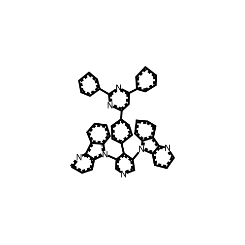 c1ccc(-c2cc(-c3ccc(-c4c(-n5c6ccccc6c6ncccc65)cncc4-n4c5ccccc5c5ncccc54)cc3)nc(-c3ccccc3)n2)cc1